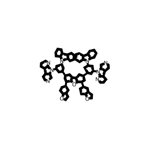 c1ccc2c(c1)c1ccccc1n2-c1cc(-c2cc(-c3ccc4occc4c3)c3oc4c(-c5ccc6occc6c5)cc(-c5cc(-n6c7ccccc7c7ccccc76)cc(-n6c7cnccc7c7cccnc76)c5)cc4c3c2)cc(-n2c3cnccc3c3cccnc32)c1